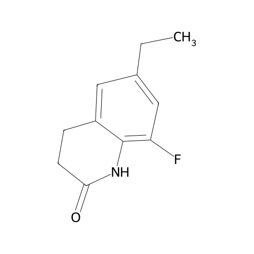 CCc1cc(F)c2c(c1)CCC(=O)N2